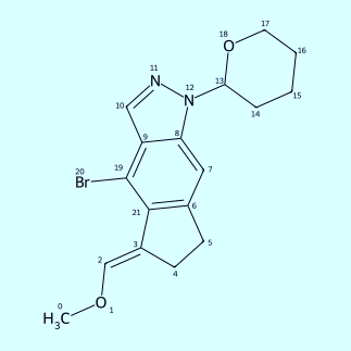 COC=C1CCc2cc3c(cnn3C3CCCCO3)c(Br)c21